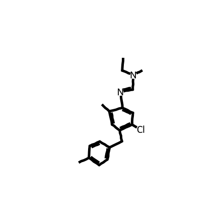 CCN(C)C=Nc1cc(Cl)c(Cc2ccc(C)cc2)cc1C